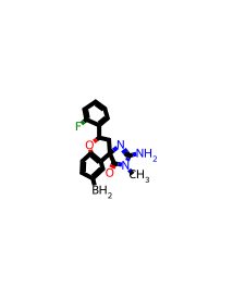 Bc1ccc2c(c1)C1(CC(c3ccccc3F)O2)N=C(N)N(C)C1=O